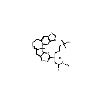 COC1=CC23CCCN2CCc2cc4c(cc2[C@@H]3C1OC(=O)[C@@](O)(CCCC(C)(C)O)CC(=O)SC(C)C)OCO4